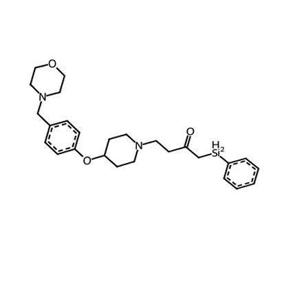 O=C(CCN1CCC(Oc2ccc(CN3CCOCC3)cc2)CC1)C[SiH2]c1ccccc1